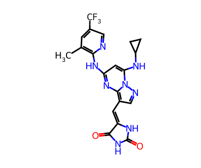 Cc1cc(C(F)(F)F)cnc1Nc1cc(NC2CC2)n2ncc(/C=C3\NC(=O)NC3=O)c2n1